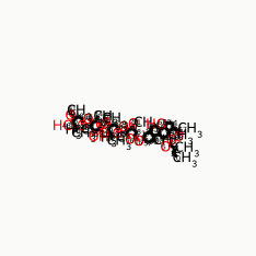 C/C=C(\C)C(=O)O[C@@H]1CC2C(CC=C3C[C@@H](OC4CC(OC)C(OC5CC(OC)C(OC6OC(C)C(OC7CC(OC)C(O)C(C)O7)C(C)C6O)C(C)O5)C(C)O4)CC[C@@]32C)[C@@]2(O)CCC(C(C)=O)[C@@]12C